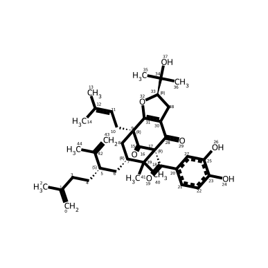 C=C(C)CC[C@@H](C[C@@H]1C[C@]2(CC=C(C)C)C(=O)[C@@](C(=O)c3ccc(O)c(O)c3)(C(=O)C3=C2O[C@@H](C(C)(C)O)C3)C1(C)C)C(=C)C